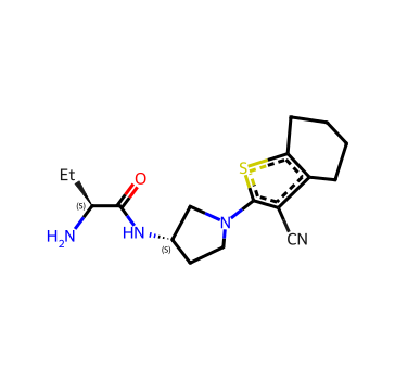 CC[C@H](N)C(=O)N[C@H]1CCN(c2sc3c(c2C#N)CCCC3)C1